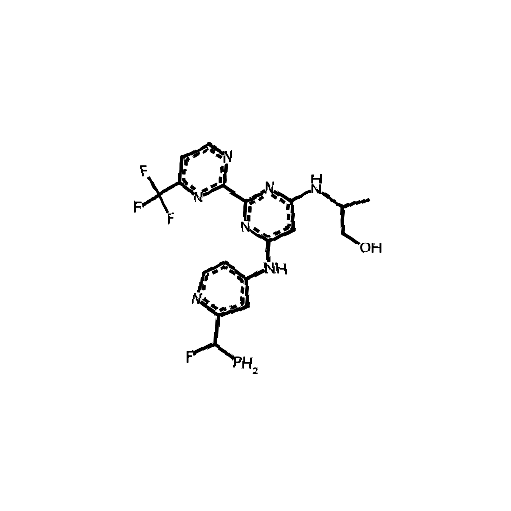 CC(CO)Nc1cc(Nc2ccnc(C(F)P)c2)nc(-c2nccc(C(F)(F)F)n2)n1